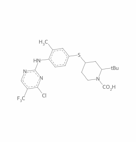 Cc1cc(SC2CCN(C(=O)O)C(C(C)(C)C)C2)ccc1Nc1ncc(C(F)(F)F)c(Cl)n1